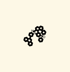 O=P(c1ccccc1)(c1ccccc1)c1ccc2c(c1)c1c3ccccc3ccc1c1nc3ccc(-c4cc5ccccc5c5ccccc45)cc3n21